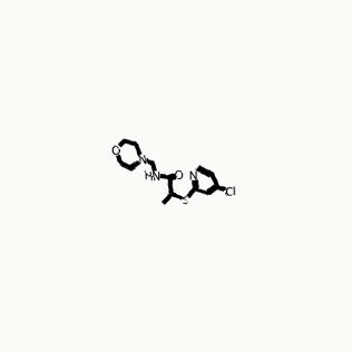 CC(Sc1cc(Cl)ccn1)C(=O)NCN1CCOCC1